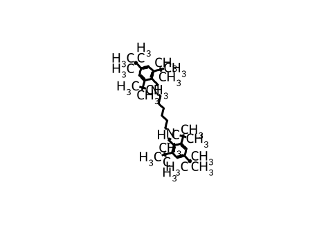 CC(C)(C)c1cc(C(C)(C)C)c(C=NCCCCCCN=Cc2c(C(C)(C)C)cc(C(C)(C)C)cc2C(C)(C)C)c(C(C)(C)C)c1